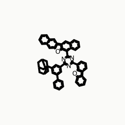 c1ccc(-c2cc(-c3nc(-c4cccc5c4oc4ccccc45)nc(-c4c5ccccc5cc5c4oc4cc6ccccc6cc45)n3)cc(C34CC5CC(CC(C5)C3)C4)c2)cc1